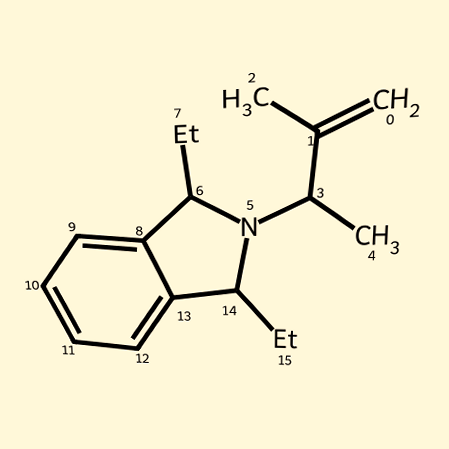 C=C(C)C(C)N1C(CC)c2ccccc2C1CC